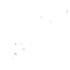 COC(=O)C(c1cc(N2CCC(O[C@H]3CC[C@H](Oc4cc(N5C6CCC5CN(C(=O)OC(C)(C)C)C6)ccn4)CC3)CC2)no1)C(C)C